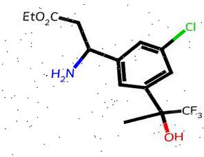 CCOC(=O)CC(N)c1cc(Cl)cc(C(C)(O)C(F)(F)F)c1